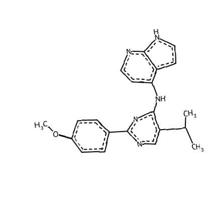 COc1ccc(-c2ncc(C(C)C)c(Nc3ccnc4[nH]ccc34)n2)cc1